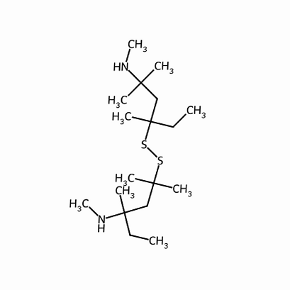 CCC(C)(CC(C)(C)SSC(C)(CC)CC(C)(C)NC)NC